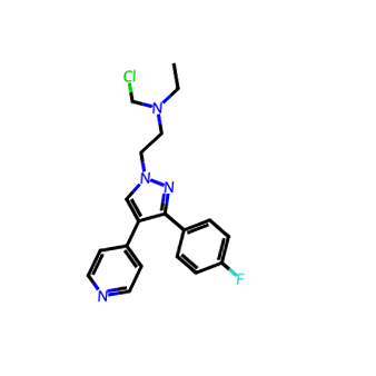 CCN(CCl)CCn1cc(-c2ccncc2)c(-c2ccc(F)cc2)n1